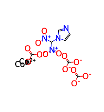 O=C([O-])[O-].O=C([O-])[O-].O=C([O-])[O-].O=[N+]([O-])C(n1ccnc1)[N+](=O)[O-].[Co+3].[Co+3]